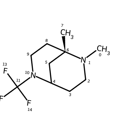 CN1CCC2C[C@]1(C)CCN2C(F)(F)F